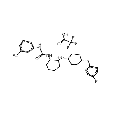 CC(=O)c1cccc(NC(=O)N[C@H]2CCCC[C@@H]2N[C@H]2CC[C@@H](Cc3ccc(F)cc3)CC2)c1.O=C(O)C(F)(F)F